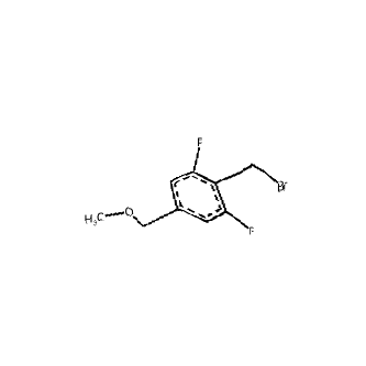 COCc1cc(F)c(CBr)c(F)c1